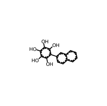 Oc1c(O)c(O)c(-c2ccc3ccccc3c2)c(O)c1O